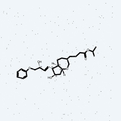 CC(C)OC(=O)CCCC1CC[C@@H]2[C@@H](C=C[C@@H](O)COc3ccccc3)[C@H](O)C[C@H]2OC1